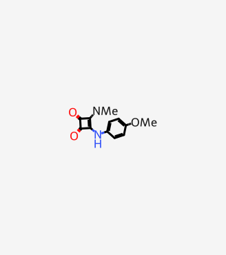 CNc1c(Nc2ccc(OC)cc2)c(=O)c1=O